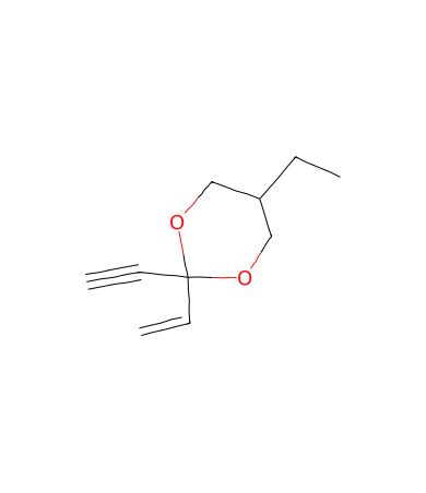 C#CC1(C=C)OCC(CC)CO1